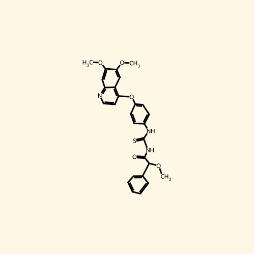 COc1cc2nccc(Oc3ccc(NC(=S)NC(=O)C(OC)c4ccccc4)cc3)c2cc1OC